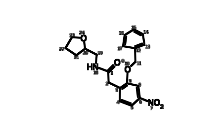 O=C(Cc1ccc([N+](=O)[O-])cc1OCc1ccccc1)NCC1CCCO1